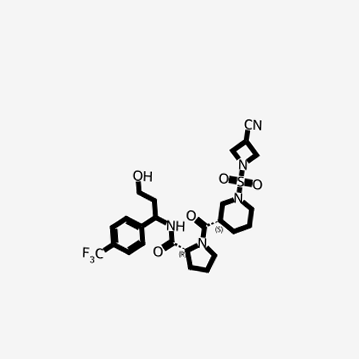 N#CC1CN(S(=O)(=O)N2CCC[C@H](C(=O)N3CCC[C@@H]3C(=O)NC(CCO)c3ccc(C(F)(F)F)cc3)C2)C1